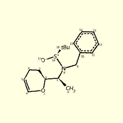 C[C@@H]([C@@H]1CCC=CO1)N(Cc1ccccc1)[S@@+]([O-])C(C)(C)C